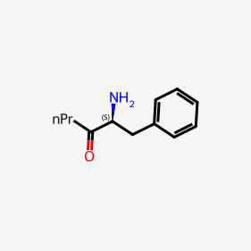 CCCC(=O)[C@@H](N)Cc1ccccc1